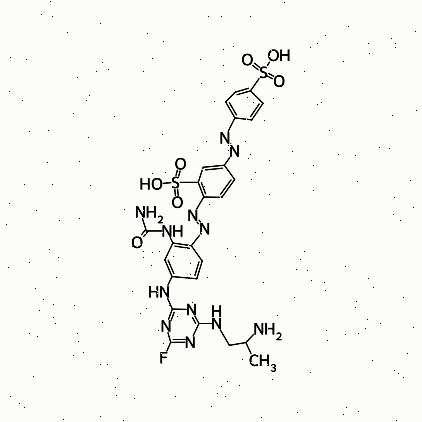 CC(N)CNc1nc(F)nc(Nc2ccc(/N=N/c3ccc(/N=N/c4ccc(S(=O)(=O)O)cc4)cc3S(=O)(=O)O)c(NC(N)=O)c2)n1